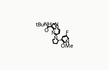 COc1ncc(F)cc1[C@H]1CCCN1c1ccn2ncc(C(=O)NC(C)(C)C)c2n1